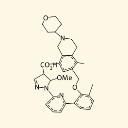 COC1C(C(=O)O)C=NN1c1cccc(-c2cccc(C)c2OCc2cc(C)c3c(c2C)CCN(C2CCOCC2)C3)n1